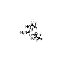 CC(C)(C)OC(N)=O.O=C(O)C(F)(F)F.O=C(O)C(F)(F)F